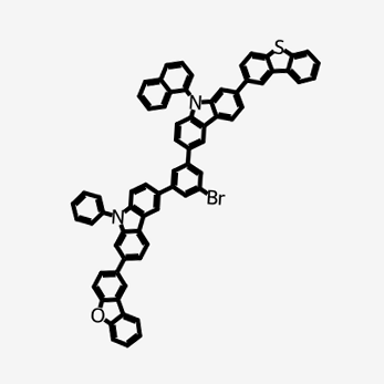 Brc1cc(-c2ccc3c(c2)c2ccc(-c4ccc5oc6ccccc6c5c4)cc2n3-c2ccccc2)cc(-c2ccc3c(c2)c2ccc(-c4ccc5sc6ccccc6c5c4)cc2n3-c2cccc3ccccc23)c1